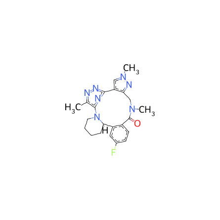 Cc1nnc2nc1N1CCCC[C@@H]1c1cc(F)ccc1C(=O)N(C)Cc1nn(C)cc1-2